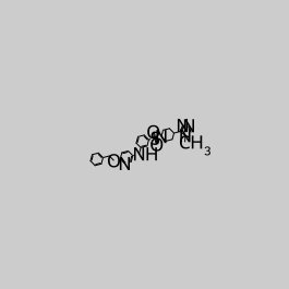 Cn1cnnc1C1CCN(S(=O)(=O)c2cccc(Nc3ccc(OCc4ccccc4)nc3)c2)CC1